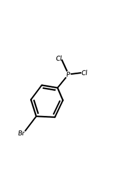 ClP(Cl)c1ccc(Br)cc1